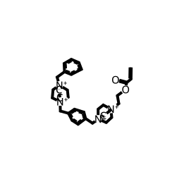 C=CC(=O)OCC[N+]12CC[N+](Cc3ccc(C[N+]45CC[N+](Cc6ccccc6)(CC4)CC5)cc3)(CC1)CC2